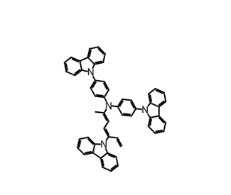 C=C/C(=C\C=C(/C)N(c1ccc(-n2c3ccccc3c3ccccc32)cc1)c1ccc(-n2c3ccccc3c3ccccc32)cc1)n1c2ccccc2c2ccccc21